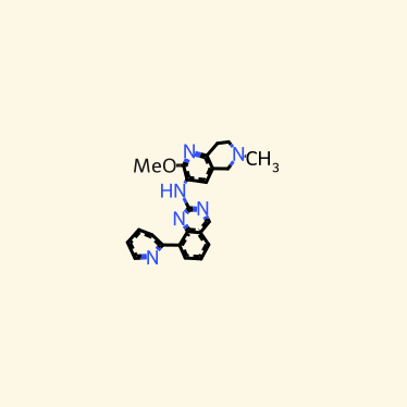 COc1nc2c(cc1Nc1ncc3cccc(-c4ccccn4)c3n1)CN(C)CC2